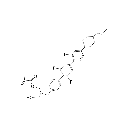 C=C(C)C(=O)OCC(CO)Cc1ccc(-c2c(F)cc(-c3ccc(C4CCC(CCC)CC4)cc3F)cc2F)cc1